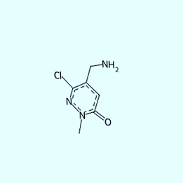 Cn1nc(Cl)c(CN)cc1=O